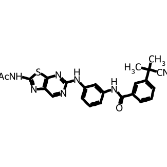 CC(=O)Nc1nc2cnc(Nc3cccc(NC(=O)c4cccc(C(C)(C)C#N)c4)c3)nc2s1